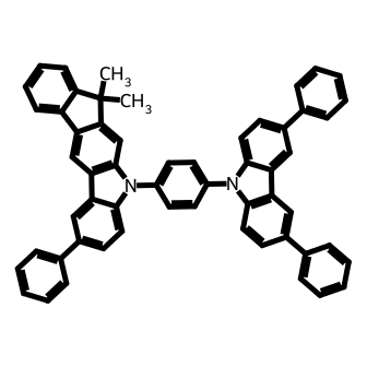 CC1(C)c2ccccc2-c2cc3c4cc(-c5ccccc5)ccc4n(-c4ccc(-n5c6ccc(-c7ccccc7)cc6c6cc(-c7ccccc7)ccc65)cc4)c3cc21